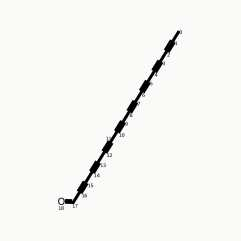 CC#CC#CC#CC#CC#CC#CC#CC#CC=O